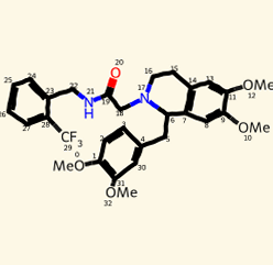 COc1ccc(CC2c3cc(OC)c(OC)cc3CCN2CC(=O)NCc2ccccc2C(F)(F)F)cc1OC